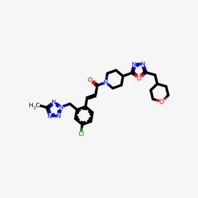 Cc1nnn(Cc2cc(Cl)ccc2C=CC(=O)N2CCC(c3nnc(CC4CCOCC4)o3)CC2)n1